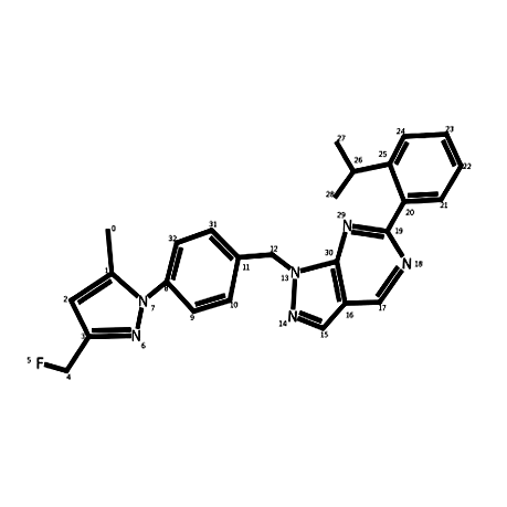 Cc1cc(CF)nn1-c1ccc(Cn2ncc3cnc(-c4ccccc4C(C)C)nc32)cc1